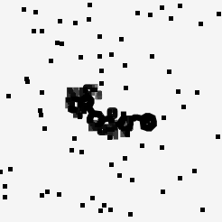 Cc1c(NC(=O)c2cc(-c3cc(C(F)(F)F)c4c(N)ncnn34)cnc2O)ncn1Cc1ccccc1